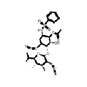 CC(=O)OC1[C@@H](O)[C@H](O[C@H]2OC(C(C)C)[C@@H](C)[C@H](C)C2N=[N+]=[N-])C(N=[N+]=[N-])C[C@H]1NS(=O)(=O)c1ccccc1